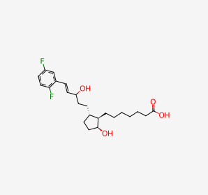 O=C(O)CCCCCC[C@@H]1[C@@H](CCC(O)/C=C/c2cc(F)ccc2F)CC[C@@H]1O